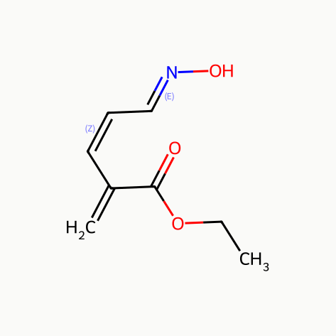 C=C(/C=C\C=N\O)C(=O)OCC